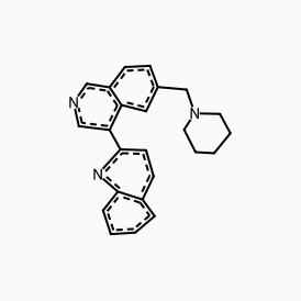 c1ccc2nc(-c3cncc4ccc(CN5CCCCC5)cc34)ccc2c1